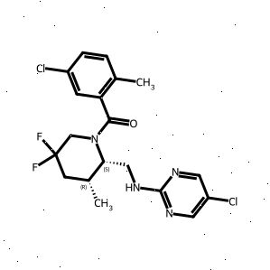 Cc1ccc(Cl)cc1C(=O)N1CC(F)(F)C[C@@H](C)[C@H]1CNc1ncc(Cl)cn1